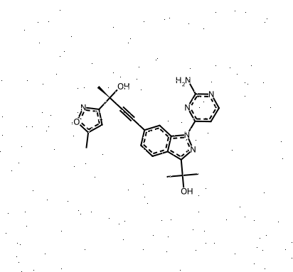 Cc1cc([C@](C)(O)C#Cc2ccc3c(C(C)(C)O)nn(-c4ccnc(N)n4)c3c2)no1